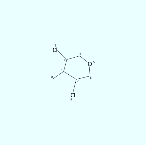 CC1C(Cl)COCC1Cl